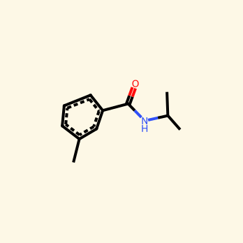 Cc1cccc(C(=O)NC(C)C)c1